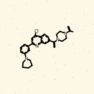 C=C(C)N1CCN(C(=C)c2ccc3c(Cl)cc(-c4cccc(N5CCCCC5)c4)nc3c2)CC1